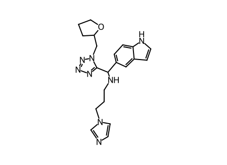 c1cn(CCCNC(c2ccc3[nH]ccc3c2)c2nnnn2CC2CCCO2)cn1